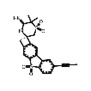 CC#Cc1ccc2c(c1)-c1cc3c(cc1S2(=O)=O)C[C@]31CS(=O)(=O)C(C)(C)C(=N)N1